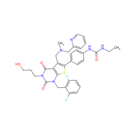 CCNC(=O)Nc1ccc(-c2sc3c(c2CN(C)Cc2ccccn2)c(=O)n(CCCO)c(=O)n3Cc2c(F)cccc2F)cc1